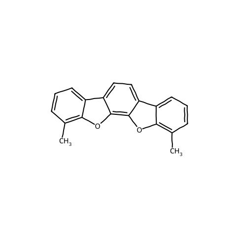 Cc1cccc2c1oc1c2ccc2c3cccc(C)c3oc21